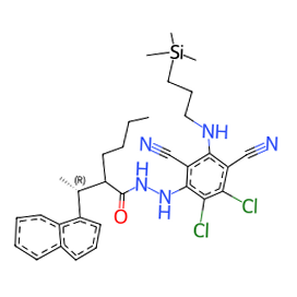 CCCCC(C(=O)NNc1c(Cl)c(Cl)c(C#N)c(NCCC[Si](C)(C)C)c1C#N)[C@@H](C)c1cccc2ccccc12